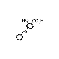 O=C(O)c1ccc(SCc2ccccc2)cc1O